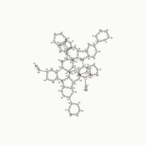 N#Cc1ccc(-n2c3ccc(-c4ccccc4)cc3c3cc(-c4ccccc4)ccc32)c(-c2nc(-c3ccccc3)nc(-c3cc(C#N)ccc3-n3c4ccc(-c5ccccc5)cc4c4cc(-c5ccccc5)ccc43)n2)c1